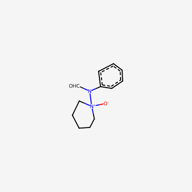 O=CN(c1ccccc1)[N+]1([O-])CCCCC1